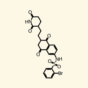 O=C1CCC(CCC2CC(=O)c3cc(NS(=O)(=O)c4ccccc4Br)ccc3C2=O)C(=O)N1